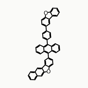 c1ccc2cc3c(cc2c1)oc1ccc(-c2c4ccccc4c(-c4ccc(-c5ccc6oc7ccccc7c6c5)cc4)c4ccccc24)cc13